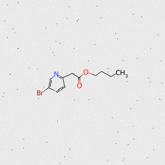 CCCCOC(=O)Cc1ccc(Br)cn1